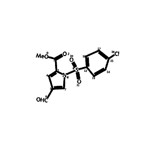 COC(=O)c1cc(C=O)cn1S(=O)(=O)c1ccc(Cl)cc1